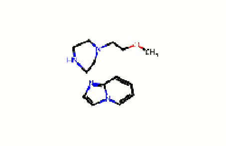 COCCN1CCNCC1.c1ccn2ccnc2c1